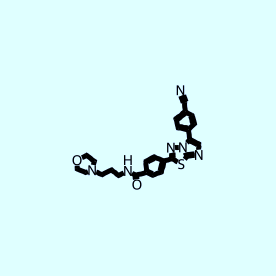 N#Cc1ccc(-c2cnc3sc(-c4ccc(C(=O)NCCCN5CCOCC5)cc4)nn23)cc1